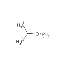 CC(C)[O].P